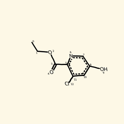 CCOC(=O)c1ncc(O)cc1Cl